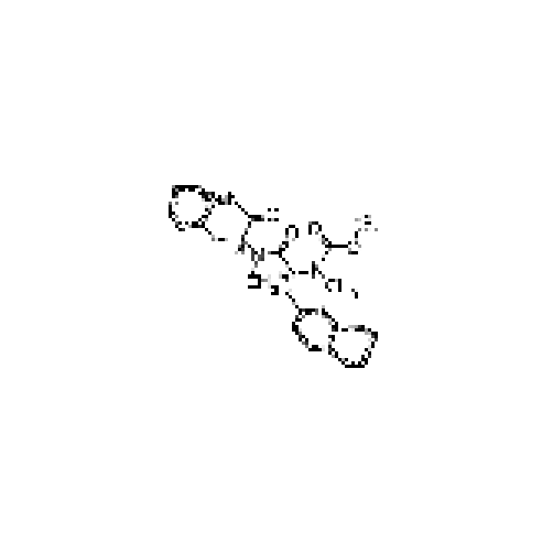 CNC(=O)[C@@H](Cc1ccccc1)N(C)C(=O)[C@@H](Cc1ccc2ccccc2c1)N(C)C(=O)OC(C)(C)C